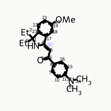 CCC1(CC)N/C(=C\C(=O)c2ccc(N(C)C)cc2)c2cc(OC)ccc21